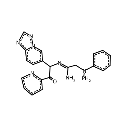 N/C(CN(P)c1ccccc1)=N\C(C(=O)c1ccccn1)c1ccc2ncnn2c1